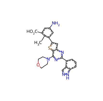 Cc1c(C(=O)O)cc(N)cc1-c1cc2nc(-c3cccc4[nH]ncc34)nc(N3CCOCC3)c2s1